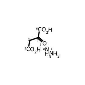 N.N.O=C(O)CC(=O)C(=O)O